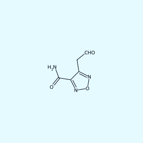 NC(=O)c1nonc1CC=O